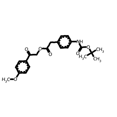 COc1ccc(C(=O)COC(=O)Cc2ccc(NC(=O)OC(C)(C)C)cc2)cc1